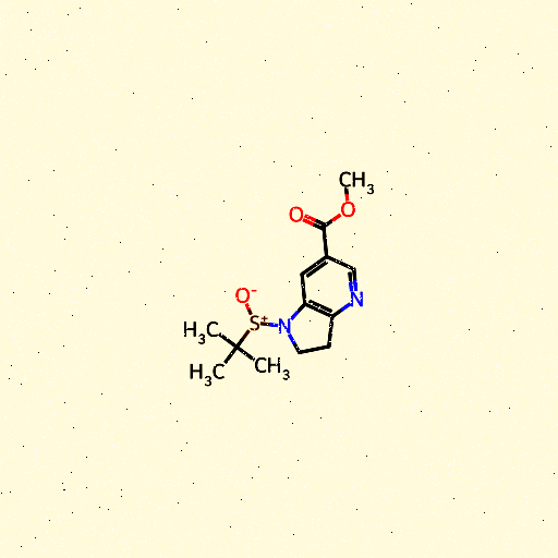 COC(=O)c1cnc2c(c1)N([S+]([O-])C(C)(C)C)CC2